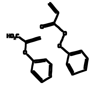 C=C(Oc1ccccc1)C(=O)O.C=CC(=O)OOc1ccccc1